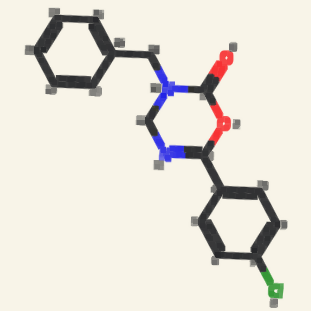 O=C1OC(c2ccc(Cl)cc2)=NCN1Cc1ccccc1